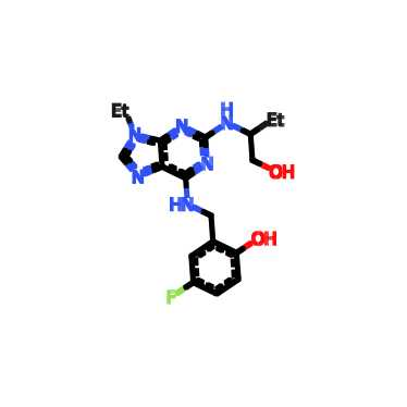 CCC(CO)Nc1nc(NCc2cc(F)ccc2O)c2ncn(CC)c2n1